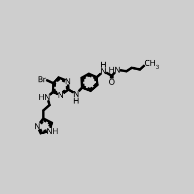 CCCCNC(=O)Nc1ccc(Nc2ncc(Br)c(NCCc3c[nH]cn3)n2)cc1